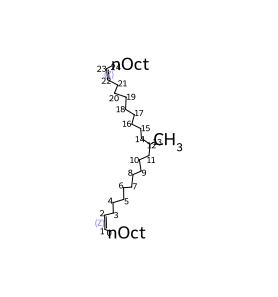 CCCCCCCC/C=C\CCCCCCCCCC(C)CCCCCCCC/C=C\CCCCCCCC